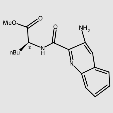 CCCC[C@H](NC(=O)c1nc2ccccc2cc1N)C(=O)OC